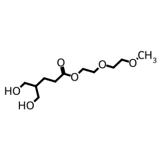 COCCOCCOC(=O)CCC(CO)CO